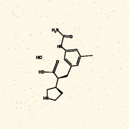 Cc1cc(C[C@H](C(=O)O)[C@H]2CCNC2)cc(NC(N)=O)c1.Cl